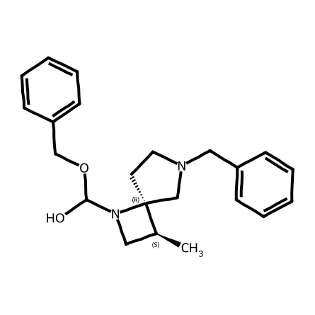 C[C@H]1CN(C(O)OCc2ccccc2)[C@]12CCN(Cc1ccccc1)C2